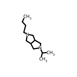 CCCCN1CC2CN(C(C)C)CC2C1